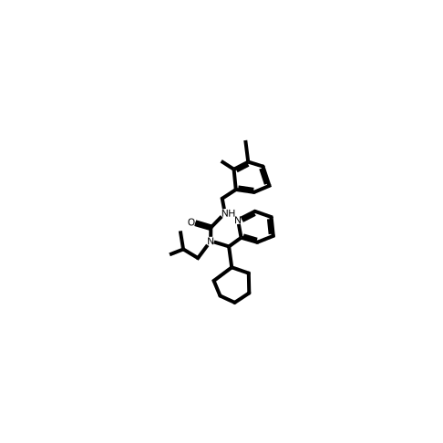 Cc1cccc(CNC(=O)N(CC(C)C)C(c2ccccn2)C2CCCCC2)c1C